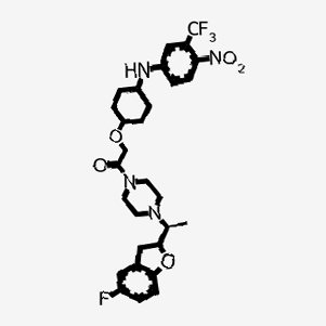 C[C@@H](C1Cc2cc(F)ccc2O1)N1CCN(C(=O)COC2CCC(Nc3ccc([N+](=O)[O-])c(C(F)(F)F)c3)CC2)CC1